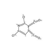 O=C=c1cc(Cl)nc(Cl)c1=C=O